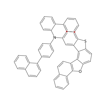 c1ccc(-c2ccccc2N(c2ccc(-c3cccc4ccccc34)cc2)c2ccc3sc4ccc5oc6c7ccccc7ccc6c5c4c3c2)cc1